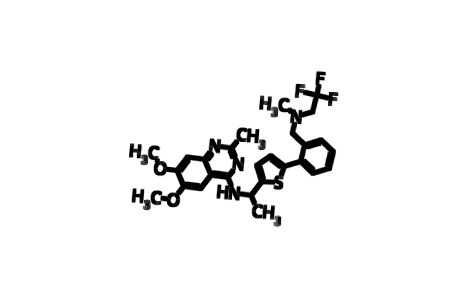 COc1cc2nc(C)nc(NC(C)c3ccc(-c4ccccc4CN(C)CC(F)(F)F)s3)c2cc1OC